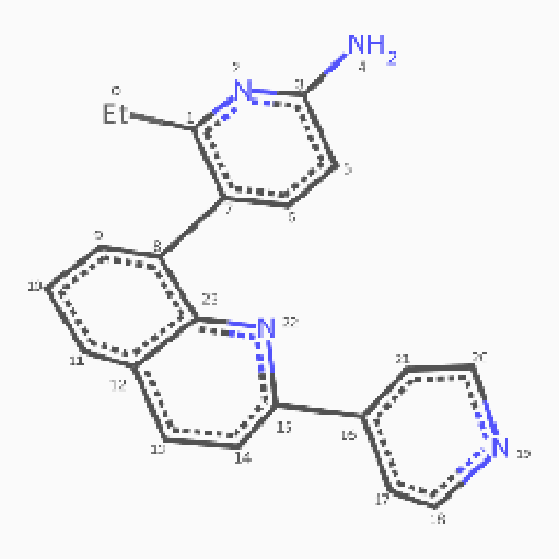 CCc1nc(N)ccc1-c1cccc2ccc(-c3ccncc3)nc12